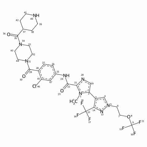 Cn1c(-c2cn(CCOC(F)(F)F)nc2C(F)(F)F)cnc1C(=O)Nc1ccc(C(=O)N2CCN(C(=O)C3CCNCC3)CC2)c(Cl)c1